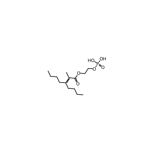 CCCCC(CCCC)=C(C)C(=O)OCCOP(=O)(O)O